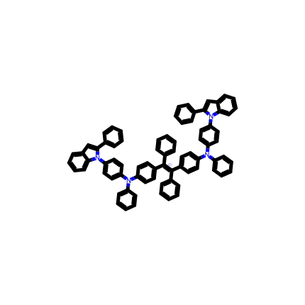 c1ccc(/C(=C(/c2ccccc2)c2ccc(N(c3ccccc3)c3ccc(-n4c(-c5ccccc5)cc5ccccc54)cc3)cc2)c2ccc(N(c3ccccc3)c3ccc(-n4c(-c5ccccc5)cc5ccccc54)cc3)cc2)cc1